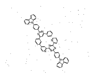 c1ccc(-c2cc(-c3cccc(-c4ccnc(-c5nc(-c6ccc(-n7c8ccccc8c8ccccc87)cc6)nc(-c6ccccn6)n5)c4)c3)nc(-c3ccc(-n4c5ccccc5c5ccccc54)cc3)n2)cc1